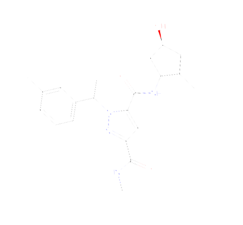 CNC(=O)c1cc(C(=O)NC2C[C@@H](O)CC2C)n(C(C)c2cccc(C)c2)n1